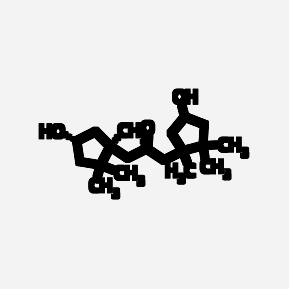 CC1(C)CC(O)CC1(C)CC(=O)C[C@]1(C)C[C@@H](O)CC1(C)C